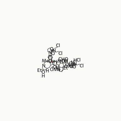 CC[C@]1(O)C[C@H]2C[N@](CCc3c([nH]c4ccccc34)[C@@](C(=O)OC)(c3cc4c(cc3OC)N(C=O)[C@H]3[C@@](O)(C(=O)OC)[C@H](OC(C)=O)[C@]5(CC)C=CCN6CC[C@]43[C@@H]65)C2)C1.O=P1(N(CCCl)CCCl)NCCCO1.O=P1(NCCCl)OCCCN1CCCl